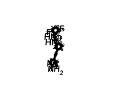 Nc1ncc(C#Cc2cccc(NC(=O)Nc3cc(F)ccc3F)c2)cn1